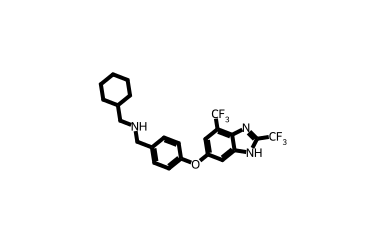 FC(F)(F)c1nc2c(C(F)(F)F)cc(Oc3ccc(CNCC4CCCCC4)cc3)cc2[nH]1